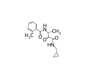 Cc1ccccc1C(=O)NC(C)C(=O)C(=O)NCC1CC1